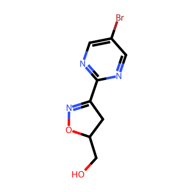 OCC1CC(c2ncc(Br)cn2)=NO1